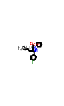 CCCCC1C(c2ccc(F)cc2)=NN(c2ccccc2)C1(C)C(=O)O